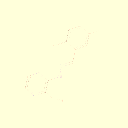 COc1nccnc1NN=Cc1cc(Cl)ccc1O